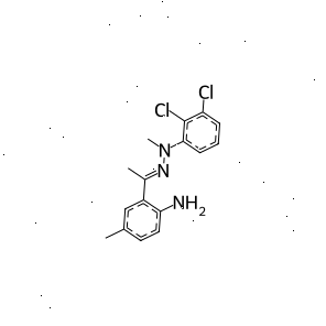 C/C(=N\N(C)c1cccc(Cl)c1Cl)c1cc(C)ccc1N